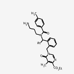 CCOC(=O)c1ncn(Cc2ccccc2C(C(C)C)N(CCCN)C(=O)c2ccc(C)cc2)c(=O)c1C